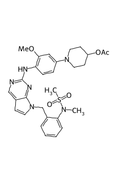 COc1cc(N2CCC(OC(C)=O)CC2)ccc1Nc1ncc2ccn(Cc3ccccc3N(C)S(C)(=O)=O)c2n1